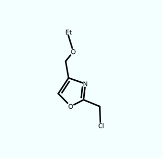 CCOCc1coc(CCl)n1